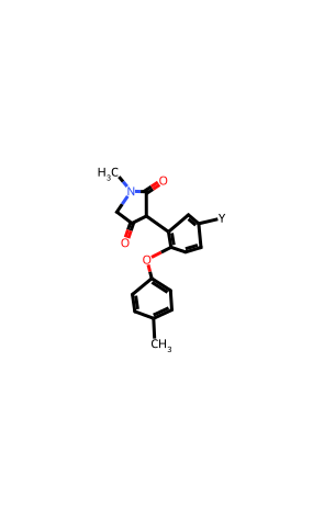 Cc1ccc(Oc2cc[c]([Y])cc2C2C(=O)CN(C)C2=O)cc1